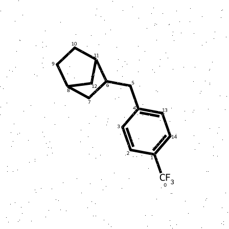 FC(F)(F)c1ccc(CC2CC3CCC2C3)cc1